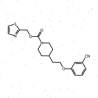 N#Cc1cccc(OCCC2CCN(C(=O)OCc3nccs3)CC2)c1